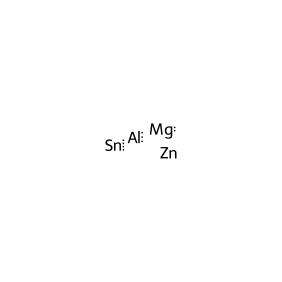 [Al].[Mg].[Sn].[Zn]